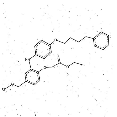 CCOC(=O)COc1ccc(COCl)cc1Nc1ccc(OCCCCc2ccccc2)cc1